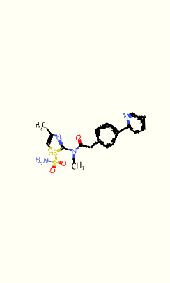 CC1=C[SH](S(N)(=O)=O)C(N(C)C(=O)Cc2ccc(-c3ccccn3)cc2)=N1